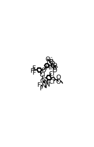 CCOC(=O)C(Cl)Cc1cc(-n2nc(C)n(C(F)F)c2=O)c(F)cc1Cl.CS(=O)(=O)NC(=O)c1cc(Oc2ccc(C(F)(F)F)cc2Cl)ccc1[N+](=O)[O-]